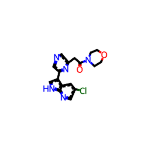 O=C(Cc1cncc(-c2c[nH]c3ncc(Cl)cc23)n1)N1CCOCC1